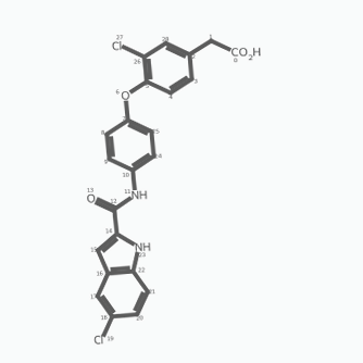 O=C(O)Cc1ccc(Oc2ccc(NC(=O)c3cc4cc(Cl)ccc4[nH]3)cc2)c(Cl)c1